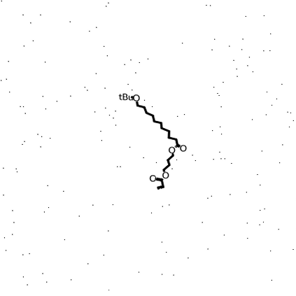 C=CC(=O)OCCCCOC(=O)CCCCCCCCCCOC(C)(C)C